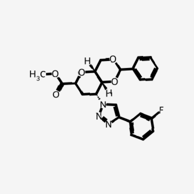 COC(=O)C1C[C@@H](n2cc(-c3cccc(F)c3)nn2)[C@H]2OC(c3ccccc3)OC[C@H]2O1